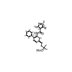 COC(C)(C)CC=C1C=CC(c2ccccc2)=C(NC(=O)c2c(C)nn(C)c2F)C1